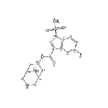 CS(=O)(=O)n1cc(C(=O)OC2CC3COCC(C2)N3)c2cc(F)ccc21